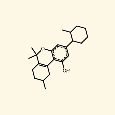 CC1CCC2=C(C1)c1c(O)cc(C3CCCCC3C)cc1OC2(C)C